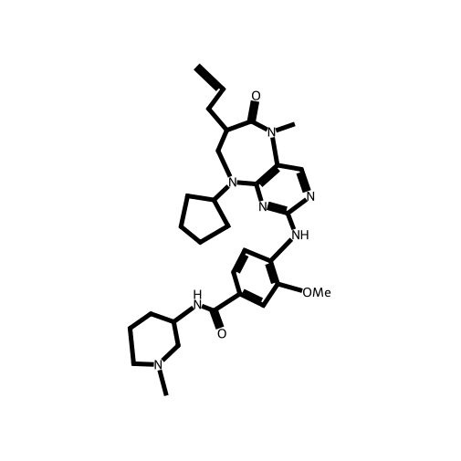 C=CCC1CN(C2CCCC2)c2nc(Nc3ccc(C(=O)NC4CCCN(C)C4)cc3OC)ncc2N(C)C1=O